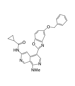 CNc1ncc(-c2nc3cc(OCc4ccccc4)ccc3o2)c2cc(NC(=O)C3CC3)ncc12